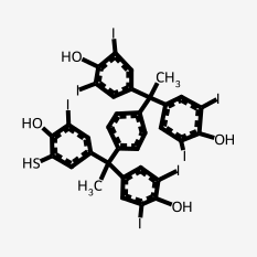 CC(c1ccc(C(C)(c2cc(I)c(O)c(I)c2)c2cc(I)c(O)c(I)c2)cc1)(c1cc(S)c(O)c(I)c1)c1cc(I)c(O)c(I)c1